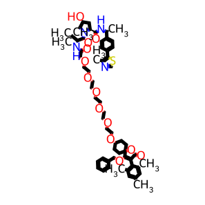 Cc1cc(C)c(C2=C(OCc3ccccc3)C3(CCC(OCCOCCOCCOCCOCCOCC(=O)N[C@H](C(=O)N4C[C@H](O)C[C@H]4C(=O)N[C@@H](C)c4ccc(-c5scnc5C)cc4)C(C)(C)C)CC3)OC2=O)c(C)c1